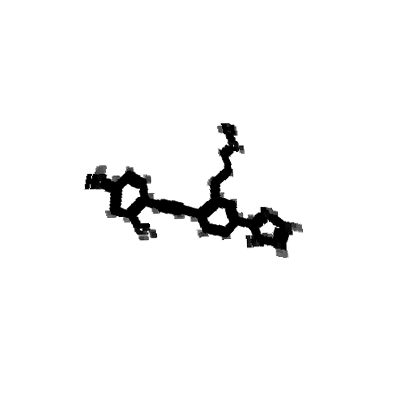 CCOCCCc1cc(-c2nnn[nH]2)ccc1C#Cc1ccc(O)cc1C(F)(F)F